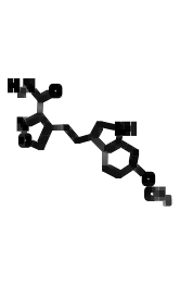 COc1ccc2c(CCc3conc3C(N)=O)c[nH]c2c1